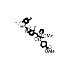 COCC(OC1CCC(C(=O)OC)CC1)(C(=O)Cc1ccc2nc(Nc3cc(F)ccc3C)oc2c1F)N1CCCC1